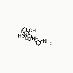 NCc1cccc(CNC(=O)Cc2c(O)c3cccnc3n(O)c2=O)c1